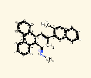 C/N=C/c1c(/C=C(\C)c2cc3ccccc3cc2C)c2ccccc2c2ccccc12